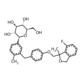 Cc1ccc([C@@H]2O[C@H](CO)[C@@H](O)[C@H](O)[C@H]2O)cc1Cc1ccc(OCC2(C)OCc3cccc(F)c32)cc1